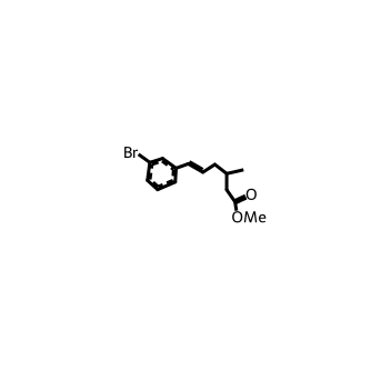 COC(=O)CC(C)CC=Cc1cccc(Br)c1